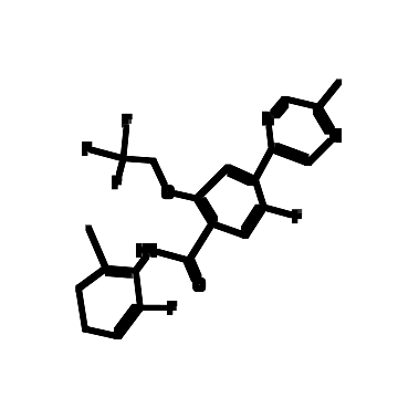 CC1=C(NC(=O)c2cc(F)c(-c3cnc(C)cn3)cc2OCC(F)(F)F)C(F)=CCC1